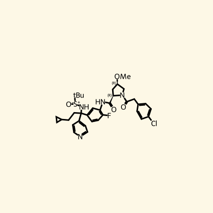 CO[C@@H]1C[C@H](C(=O)Nc2cc(C(CCC3CC3)(N[S+]([O-])C(C)(C)C)c3ccncc3)ccc2F)N(C(=O)Cc2ccc(Cl)cc2)C1